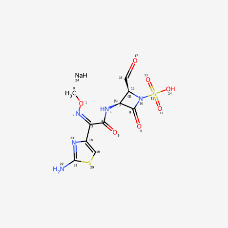 CON=C(C(=O)N[C@@H]1C(=O)N(S(=O)(=O)O)[C@@H]1C=O)c1csc(N)n1.[NaH]